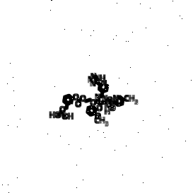 COc1ccccc1Oc1c(NS(=O)(=O)c2ccc(C)cn2)nc(-c2ccnc(-c3nnn[nH]3)c2)nc1OCCOC(=O)Oc1cccc(CON(O)O)c1